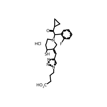 Cl.O=C(O)CCCn1cc(/C=C2/CN(C(C(=O)C3CC3)c3ccccc3F)CCC2S)nn1